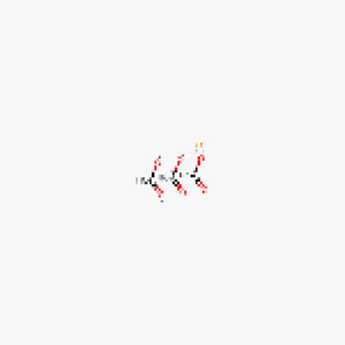 [O]=[GeH][O-].[O]=[GeH][O-].[O]=[GeH][O-].[P+3]